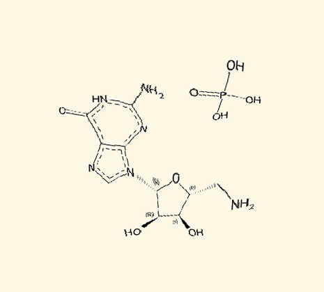 NC[C@H]1O[C@@H](n2cnc3c(=O)[nH]c(N)nc32)[C@H](O)[C@@H]1O.O=P(O)(O)O